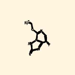 CCOc1ncc(F)c2nc(=S)[nH]n12